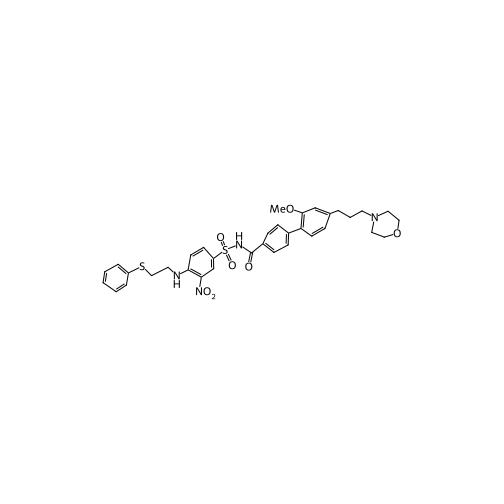 COc1cc(CCCN2CCOCC2)ccc1-c1ccc(C(=O)NS(=O)(=O)c2ccc(NCCSc3ccccc3)c([N+](=O)[O-])c2)cc1